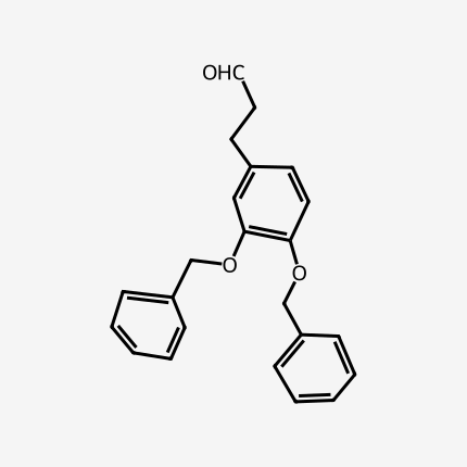 O=CCCc1ccc(OCc2ccccc2)c(OCc2ccccc2)c1